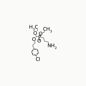 CCOC(OCCc1ccc(Cl)cc1)P(=O)(CCCN)OCC